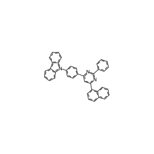 c1ccc(-c2nc(-c3ccc(-n4c5ccccc5c5ccccc54)cc3)cc(-c3cccc4ccccc34)n2)cc1